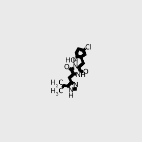 C=C(C)c1[nH]cnc1/C=c1\[nH]c(=O)/c(=C/c2cc(Cl)ccc2O)[nH]c1=O